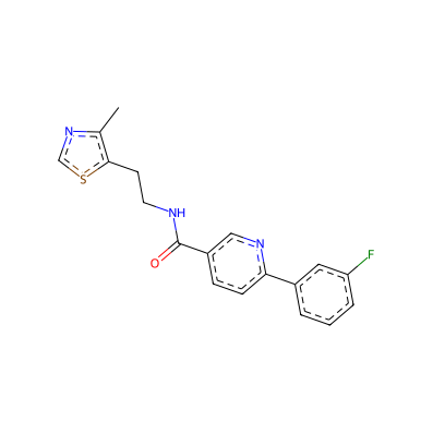 Cc1ncsc1CCNC(=O)c1ccc(-c2cccc(F)c2)nc1